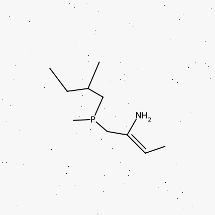 C/C=C(\N)CP(C)CC(C)CC